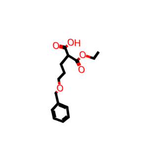 CCOC(=O)C(CCCOCc1ccccc1)C(=O)O